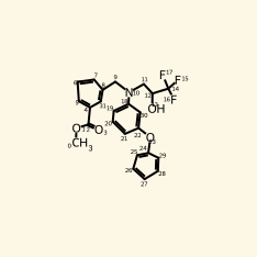 COC(=O)c1cccc(CN(CC(O)C(F)(F)F)c2cccc(Oc3ccccc3)c2)c1